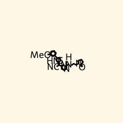 COc1cccc(C2=CSC(=C(C#N)c3ccnc(NCCCN4CCCC4=O)n3)N2)c1